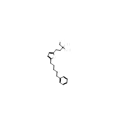 C[C@](N)(CO)CCc1ccc(CCCCCc2ccccc2)o1